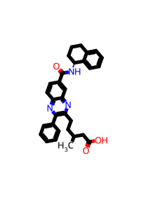 CC(CCc1nc2cc(C(=O)N[C@@H]3CCCc4ccccc43)ccc2nc1-c1ccccc1)CC(=O)O